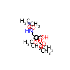 C/C=C(\C)OC(=O)NCCc1cc(CO)c(OCC(=O)OC(C)C)c(OC(C)C)c1